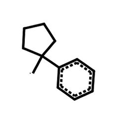 [CH2]C1(c2ccccc2)CCCC1